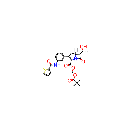 C[C@@H](O)[C@H]1C(=O)N2C(C(=O)OCOC(=O)C(C)(C)C)=C(c3cccc(NC(=O)c4cccs4)c3)C[C@H]12